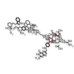 CC[C@]1(O)CCCN(CCc2c([C@@H](C(=O)OC)c3cc4c(cc3OC)N(C)[C@H]3C(O)(C(=O)NNC(=O)OCCSSC[C@H](NC(=O)[C@H](CC(=O)O)NC(=O)[C@H](CC(=O)O)NC(=O)[C@@H](CCCNC(=N)N)NC(=O)[C@H](CC(=O)O)NC(=O)CC[C@H](NC(=O)c5ccc(NCc6cnc7nc(N)[nH]c(=O)c7n6)cc5)C(=O)O)C(=O)O)[C@H](O)[C@]5(CC)CCCN6CC[C@]43C65)[nH]c3ccccc23)C1